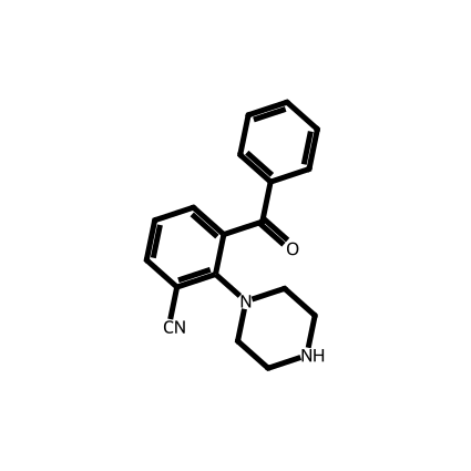 N#Cc1cccc(C(=O)c2ccccc2)c1N1CCNCC1